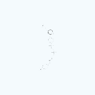 CC(C)(C)COc1ccnc(N2CCN(C(C)(C)CCC(C)(C)COC[C@@H](O)CN3CCN(C(C)(C)C)CC3)CC2)c1